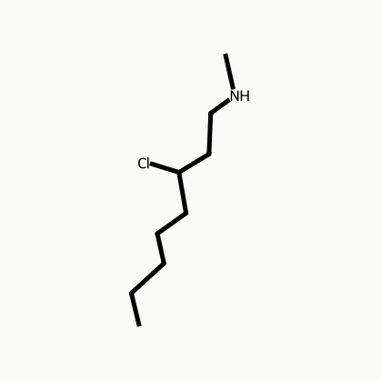 CCCCCC(Cl)CCNC